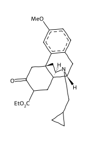 CCOC(=O)C1C[C@@H]2[C@H]3Cc4ccc(OC)cc4[C@@]2(CCN3CC2CC2)CC1=O